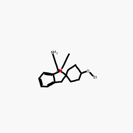 CCOC1CCC2(CC1)Cc1ccccc1C21N=C(N)N(C)O1